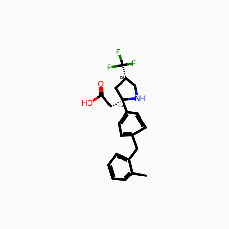 Cc1ccccc1Cc1ccc([C@@]2(CC(=O)O)C[C@H](C(F)(F)F)CN2)cc1